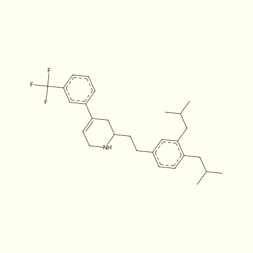 CC(C)Cc1ccc(CCC2CC(c3cccc(C(F)(F)F)c3)=CCN2)cc1CC(C)C